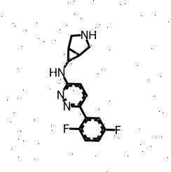 Fc1ccc(F)c(-c2ccc(NC3C4CNCC43)nn2)c1